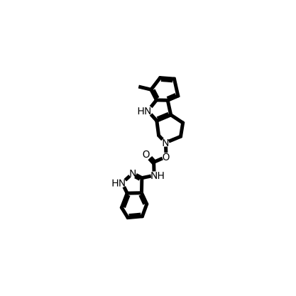 Cc1cccc2c3c([nH]c12)CN(OC(=O)Nc1n[nH]c2ccccc12)CC3